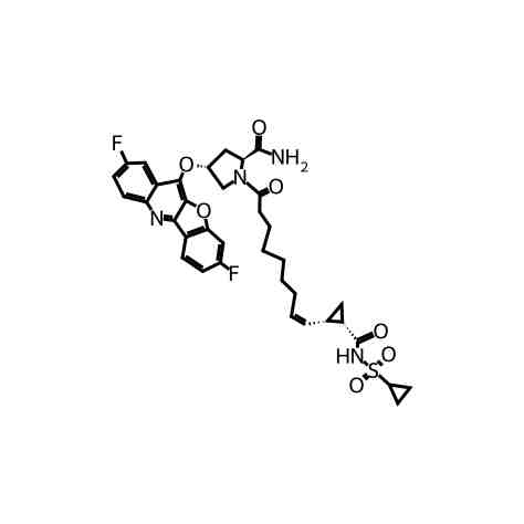 NC(=O)[C@@H]1C[C@@H](Oc2c3cc(F)ccc3nc3c2oc2cc(F)ccc23)CN1C(=O)CCCCCC/C=C\[C@@H]1C[C@@H]1C(=O)NS(=O)(=O)C1CC1